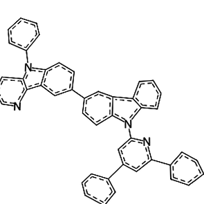 c1ccc(-c2cc(-c3ccccc3)nc(-n3c4ccccc4c4cc(-c5ccc6c(c5)c5ncccc5n6-c5ccccc5)ccc43)c2)cc1